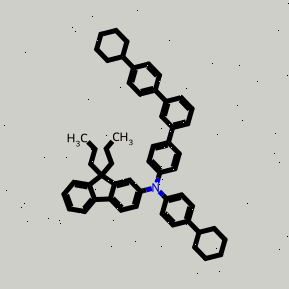 CCCC1(CCC)c2ccccc2-c2ccc(N(c3ccc(-c4cccc(-c5ccc(C6CCCCC6)cc5)c4)cc3)c3ccc(C4CCCCC4)cc3)cc21